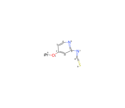 CC(C)Oc1ccnc(N=C=S)c1